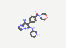 Nc1c(-c2ccc(C(=O)N3CCOCC3)cc2)c(N[C@H]2CCCNC2)nn2ccnc12